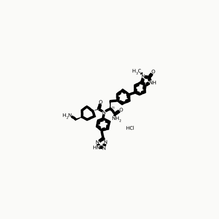 Cl.Cn1c(=O)[nH]c2ccc(-c3ccc(C[C@@H](C(N)=O)N(c4ccc(-c5nn[nH]n5)cc4)C(=O)[C@H]4CC[C@H](CN)CC4)cc3)cc21